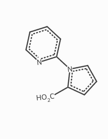 O=C(O)c1cccn1-c1ccccn1